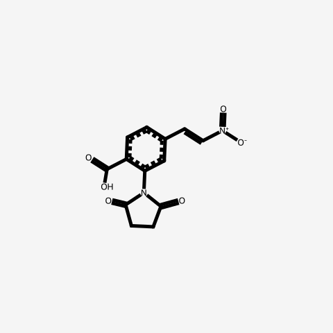 O=C(O)c1ccc(/C=C/[N+](=O)[O-])cc1N1C(=O)CCC1=O